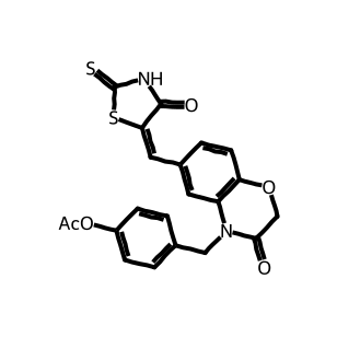 CC(=O)Oc1ccc(CN2C(=O)COc3ccc(C=C4SC(=S)NC4=O)cc32)cc1